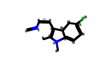 C=N/C=C\C1=C(C)N(C)C2=CC=C(F)CC21